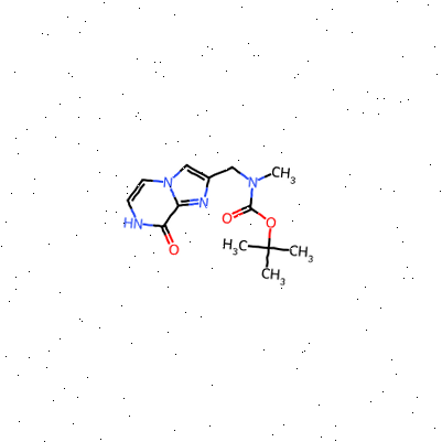 CN(Cc1cn2cc[nH]c(=O)c2n1)C(=O)OC(C)(C)C